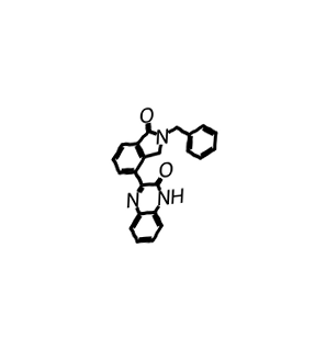 O=C1c2cccc(-c3nc4ccccc4[nH]c3=O)c2CN1Cc1ccccc1